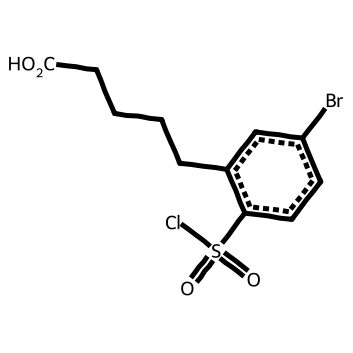 O=C(O)CCCCc1cc(Br)ccc1S(=O)(=O)Cl